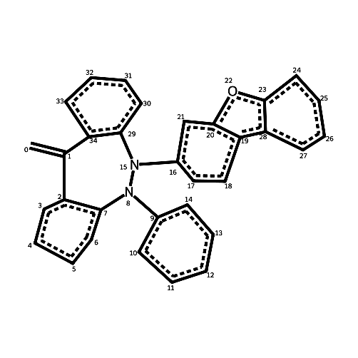 C=C1c2ccccc2N(c2ccccc2)N(c2ccc3c(c2)oc2ccccc23)c2ccccc21